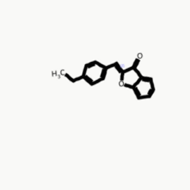 CCc1ccc(/C=C2\Oc3ccccc3C2=O)cc1